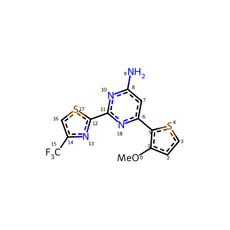 COc1ccsc1-c1cc(N)nc(-c2nc(C(F)(F)F)cs2)n1